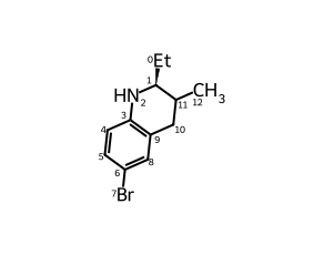 CC[C@@H]1Nc2ccc(Br)cc2CC1C